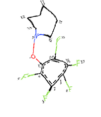 Fc1c(F)c(F)c(ON2CCCCC2)c(F)c1F